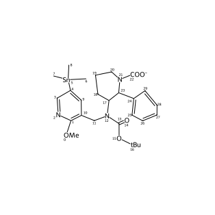 COc1nc[c]([Sn]([CH3])([CH3])[CH3])cc1CN(C(=O)OC(C)(C)C)C1CCCN(C(=O)[O-])C1c1ccccc1